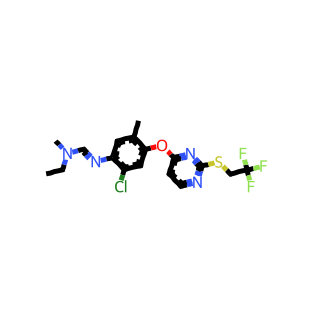 CCN(C)C=Nc1cc(C)c(Oc2ccnc(SCC(F)(F)F)n2)cc1Cl